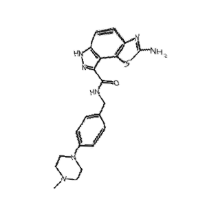 CN1CCN(c2ccc(CNC(=O)c3n[nH]c4ccc5nc(N)sc5c34)cc2)CC1